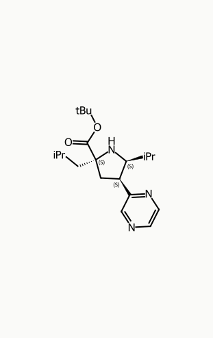 CC(C)C[C@@]1(C(=O)OC(C)(C)C)C[C@H](c2cnccn2)[C@H](C(C)C)N1